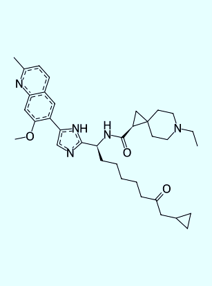 CCN1CCC2(CC1)C[C@@H]2C(=O)N[C@@H](CCCCCC(=O)CC1CC1)c1ncc(-c2cc3ccc(C)nc3cc2OC)[nH]1